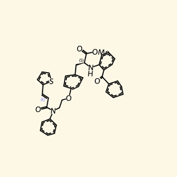 COC(=O)[C@H](Cc1ccc(OCCN(C(=O)/C=C/c2cccs2)c2ccccc2)cc1)Nc1ccccc1C(=O)c1ccccc1